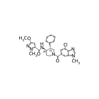 COc1cc(C(=O)N[C@@H]2CCN(C(=O)c3cc(Cl)c4ncn(C)c4c3)C[C@@H]2c2ccccc2)n(C)n1